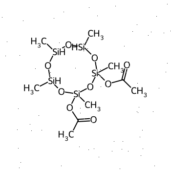 CC(=O)O[Si]1(C)O[SiH](C)O[SiH](C)O[SiH](C)O[Si](C)(OC(C)=O)O1